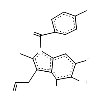 Cc1c(CC=O)c2c(F)c(O)c(F)cc2n1C(=O)c1ccc(Cl)cc1